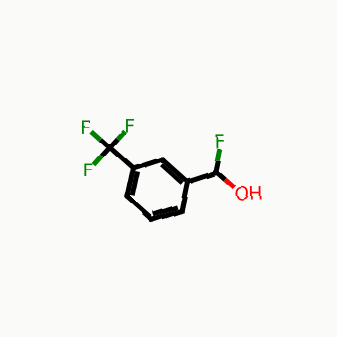 OC(F)c1cccc(C(F)(F)F)c1